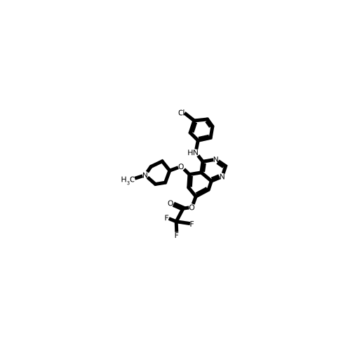 CN1CCC(Oc2cc(OC(=O)C(F)(F)F)cc3ncnc(Nc4cccc(Cl)c4)c23)CC1